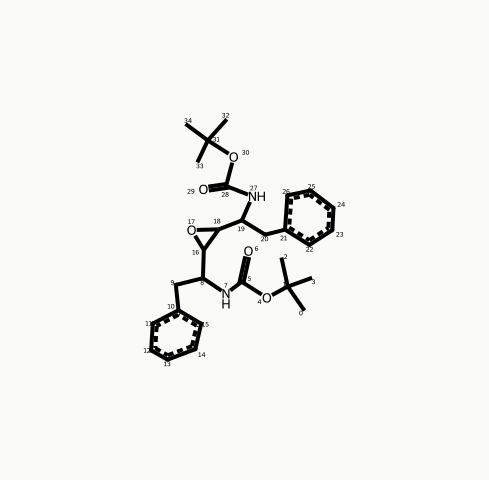 CC(C)(C)OC(=O)NC(Cc1ccccc1)C1OC1C(Cc1ccccc1)NC(=O)OC(C)(C)C